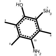 Cc1c(C)c(O)c([SiH3])c(C)c1N